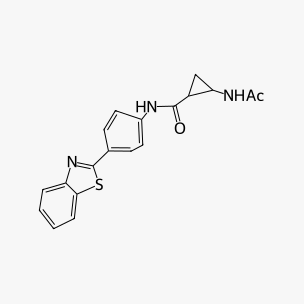 CC(=O)NC1CC1C(=O)Nc1ccc(-c2nc3ccccc3s2)cc1